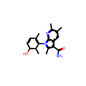 CC1=C(n2c(C)c(C(N)=O)c3cc(C)c(C)nc32)C(C)C(O)C=C1